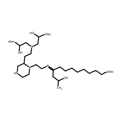 CCCCCCCCCCCCCCCCCCC(CC(C)O)=NCCN1CCNCC1CCN(CC(O)CCCCCCCCCC)CC(O)CCCCCCCCCC